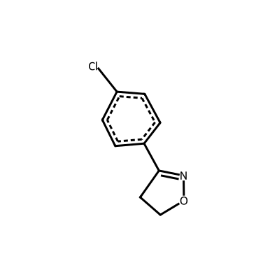 Clc1ccc(C2=NOCC2)cc1